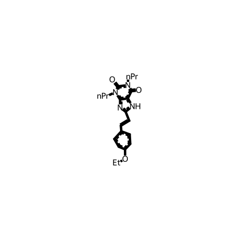 CCCn1c(=O)c2[nH]c(/C=C/c3ccc(OCC)cc3)nc2n(CCC)c1=O